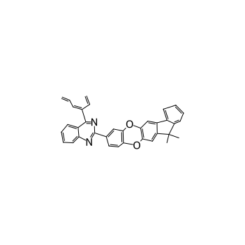 C=C/C=C(\C=C)c1nc(-c2ccc3c(c2)Oc2cc4c(cc2O3)C(C)(C)c2ccccc2-4)nc2ccccc12